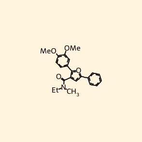 CCN(C)C(=O)c1cc(-c2ccccc2)oc1-c1ccc(OC)c(OC)c1